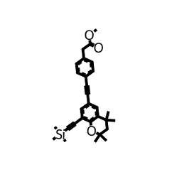 COC(=O)Cc1ccc(C#Cc2cc(C#C[Si](C)(C)C)c3c(c2)C(C)(C)CC(C)(C)O3)cc1